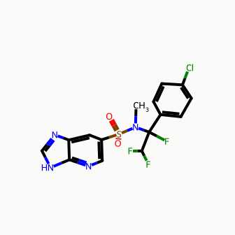 CN(C(F)(c1ccc(Cl)cc1)C(F)F)S(=O)(=O)c1cnc2[nH]cnc2c1